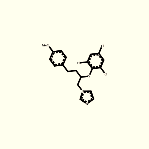 COc1ccc(CCC(Cn2ccnc2)Sc2c(Cl)cc(Cl)cc2Cl)cc1